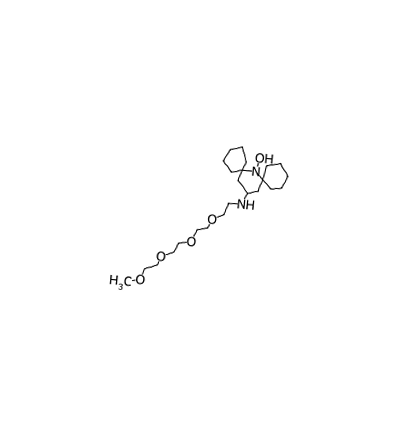 COCCOCCOCCOCCNC1CC2(CCCCC2)N(O)C2(CCCCC2)C1